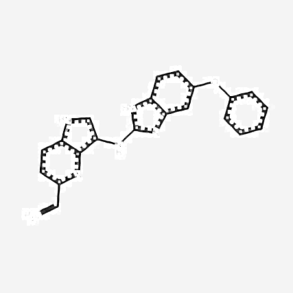 C=Cc1ccc2[nH]cc(Nc3nc4cc(Oc5ccccc5)ccc4[nH]3)c2n1